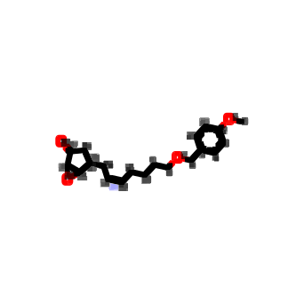 COc1ccc(COCCCC/C=C\C[C@@H]2CC(=O)C3OC32)cc1